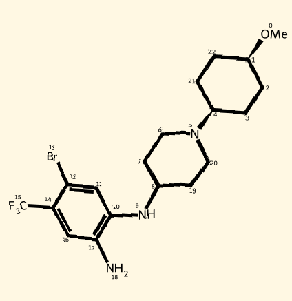 CO[C@H]1CC[C@@H](N2CCC(Nc3cc(Br)c(C(F)(F)F)cc3N)CC2)CC1